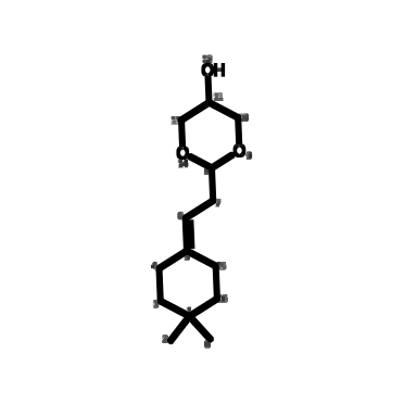 CC1(C)CCC(=CCC2OCC(O)CO2)CC1